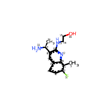 Cc1c(F)ccc2cc([C@H](C)N)c(NCCO)nc12